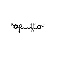 O=C(CCCCCNC(=O)NCc1ccc(Cl)cc1)Nc1ccc(F)cc1